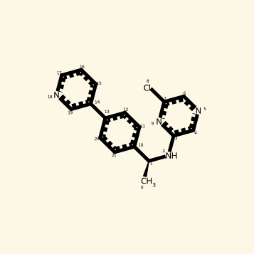 C[C@H](Nc1cncc(Cl)n1)c1ccc(-c2cccnc2)cc1